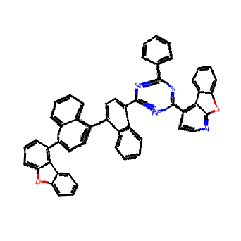 c1ccc(-c2nc(-c3ccc(-c4ccc(-c5cccc6oc7ccccc7c56)c5ccccc45)c4ccccc34)nc(-c3ccnc4oc5ccccc5c34)n2)cc1